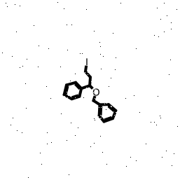 ICCC(OCc1ccccc1)c1ccccc1